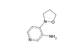 Nc1cnccc1N1CCCO1